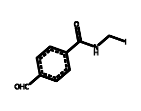 O=Cc1ccc(C(=O)NCI)cc1